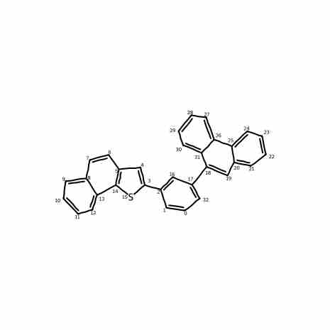 c1cc(-c2cc3ccc4ccccc4c3s2)cc(-c2cc3ccccc3c3ccccc23)c1